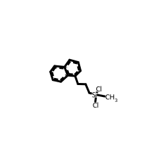 C[Si](Cl)(Cl)CCCc1cccc2ccccc12